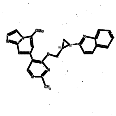 COc1cc(-c2cnc(C)nc2OC[C@H]2C[C@@H]2c2ccc3ccccc3n2)cc2nccn12